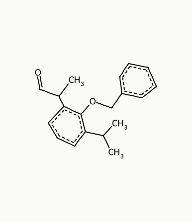 CC(C)c1cccc(C(C)C=O)c1OCc1ccccc1